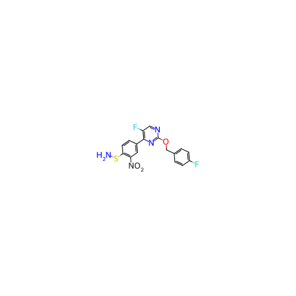 NSc1ccc(-c2nc(OCc3ccc(F)cc3)ncc2F)cc1[N+](=O)[O-]